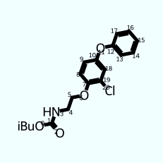 CC(C)COC(=O)NCCOc1ccc(Oc2ccccc2)cc1Cl